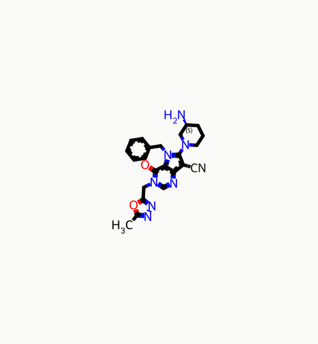 Cc1nnc(Cn2cnc3c(C#N)c(N4CCC[C@H](N)C4)n(Cc4ccccc4)c3c2=O)o1